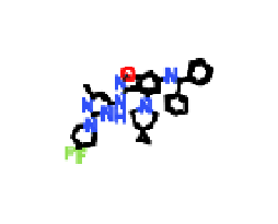 Cc1cc(Nc2noc3cc(N=C(c4ccccc4)c4ccccc4)cc(N4CCC5(CC4)CC5)c23)nc(N2CCC(F)(F)CC2)n1